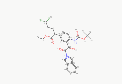 CCOC(=O)C(CCC(F)F)c1ccc(NC(=O)OC(C)(C)C)c(C(=O)C(=O)n2cc3ccccc3c2)c1